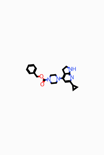 O=C(OCc1ccccc1)N1CCN(c2cc(C3CC3)nc3c2CCN3)CC1